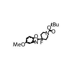 COc1ccc2oc(C3(F)CCN(C(=O)OC(C)(C)C)CC3)nc2c1